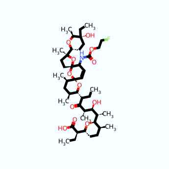 CCC(C(=O)[C@@H](C)[C@@H](O)[C@H](C)[C@@H]1O[C@@H]([C@@H](CC)C(=O)O)CC[C@@H]1C)[C@H]1O[C@]2(C=CC(NC(=O)OCCF)[C@]3(CC[C@@](C)([C@H]4CC[C@](O)(CC)[C@H](C)O4)O3)O2)[C@H](C)C[C@@H]1C